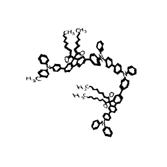 CCCCCCCC(=O)C1(C(=O)CCCCCCC)c2cc(-c3ccc(N(c4ccccc4)c4ccccc4)cc3)ccc2-c2ccc(-c3ccc(N(c4ccccc4)c4ccc(-c5ccc(N(c6ccccc6)c6ccc(-c7ccc8c(c7)C(C(=O)CCCCCCC)(C(=O)CCCCCCC)c7cc(-c9ccc(N(c%10ccccc%10)c%10ccc(C)cc%10)cc9)ccc7-8)cc6)cc5)cc4)cc3)cc21